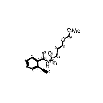 C#Cc1ccccc1[C@@H](C)NS(=O)(=O)CCCOCOC